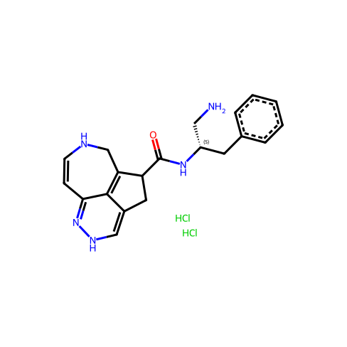 Cl.Cl.NC[C@H](Cc1ccccc1)NC(=O)C1CC2=CNN=C3C=CNCC1=C23